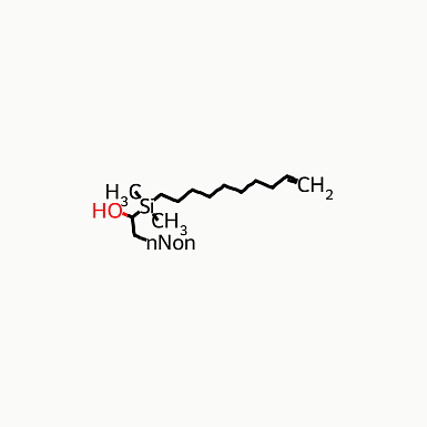 C=CCCCCCCCC[Si](C)(C)C(O)CCCCCCCCCC